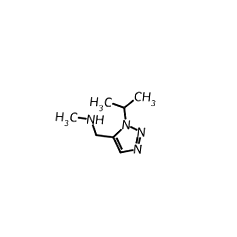 CNCc1cnnn1C(C)C